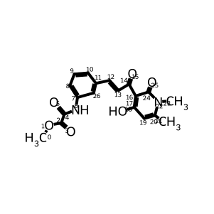 COC(=O)C(=O)Nc1cccc(C=CC(=O)c2c(O)cc(C)n(C)c2=O)c1